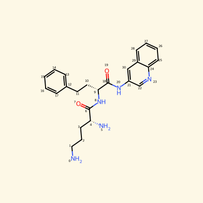 NCCC[C@@H](N)C(=O)N[C@H](CCc1ccccc1)C(=O)Nc1cnc2ccccc2c1